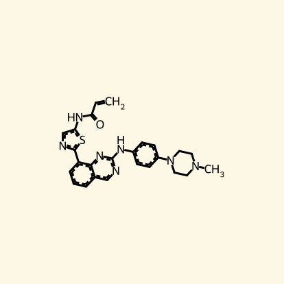 C=CC(=O)Nc1cnc(-c2cccc3cnc(Nc4ccc(N5CCN(C)CC5)cc4)nc23)s1